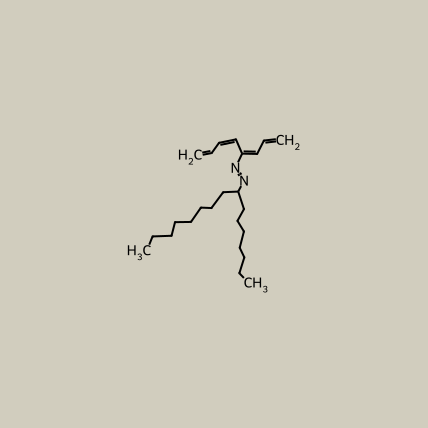 C=C\C=C/C(=C\C=C)/N=N/C(CCCCCCC)CCCCCCCC